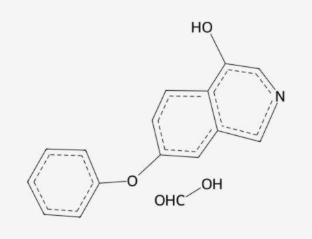 O=CO.Oc1cncc2cc(Oc3ccccc3)ccc12